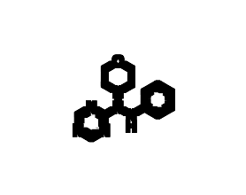 c1ccc(NN(c2ncncn2)N2CCOCC2)cc1